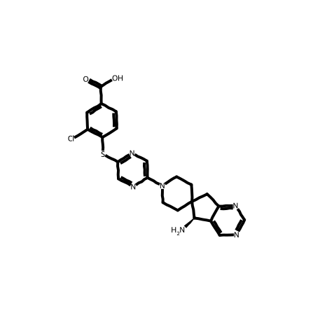 N[C@@H]1c2cncnc2CC12CCN(c1cnc(Sc3ccc(C(=O)O)cc3Cl)cn1)CC2